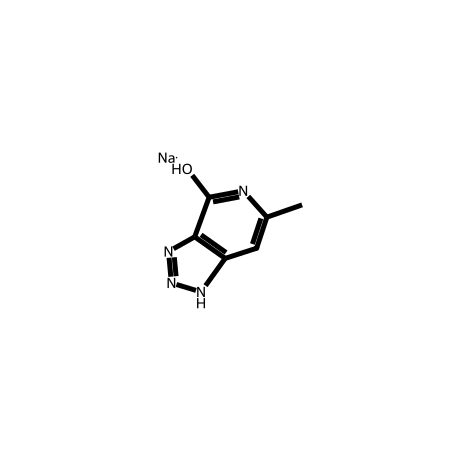 Cc1cc2[nH]nnc2c(O)n1.[Na]